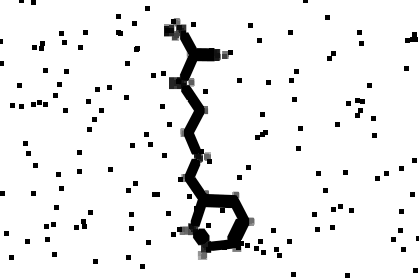 NC(=S)NCCSCc1cccnn1